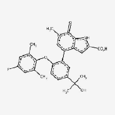 Cc1cc(F)cc(C)c1Oc1ccc(C(C)(C)O)cc1-c1cn(C)c(=O)c2[nH]c(C(=O)O)cc12